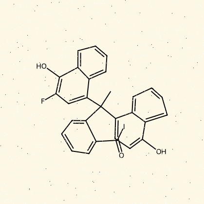 CC(c1ccccc1C(=O)I)(c1ccc(O)c2ccccc12)c1cc(F)c(O)c2ccccc12